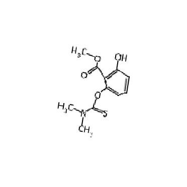 COC(=O)c1c(O)cccc1OC(=S)N(C)C